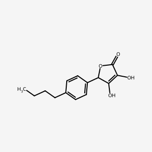 CCCCc1ccc(C2OC(=O)C(O)=C2O)cc1